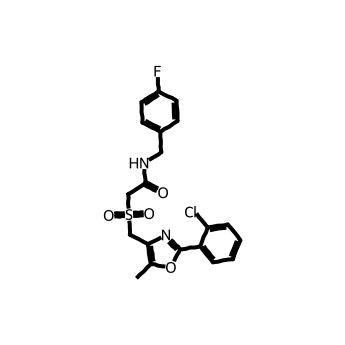 Cc1oc(-c2ccccc2Cl)nc1CS(=O)(=O)CC(=O)NCc1ccc(F)cc1